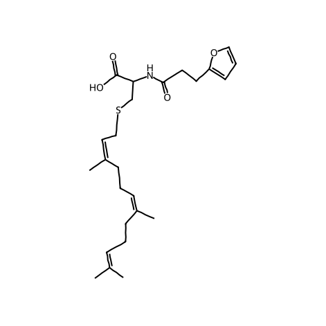 CC(C)=CCCC(C)=CCCC(C)=CCSCC(NC(=O)CCc1ccco1)C(=O)O